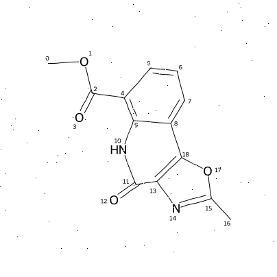 COC(=O)c1cccc2c1[nH]c(=O)c1nc(C)oc12